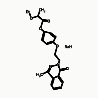 CCOC(C)C(=O)Oc1ccc(OCCn2nc(C)c3ccccc3c2=O)cc1.[NaH]